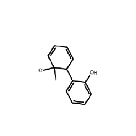 CC1(Cl)C=CC=CC1c1ccccc1O